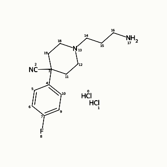 Cl.Cl.N#CC1(c2ccc(F)cc2)CCN(CCCN)CC1